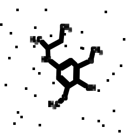 CCC(C)Nc1cc(OC)c(O)c(OC)c1